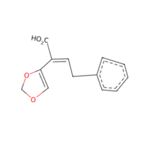 O=C(O)C(=CCc1ccccc1)C1=COCO1